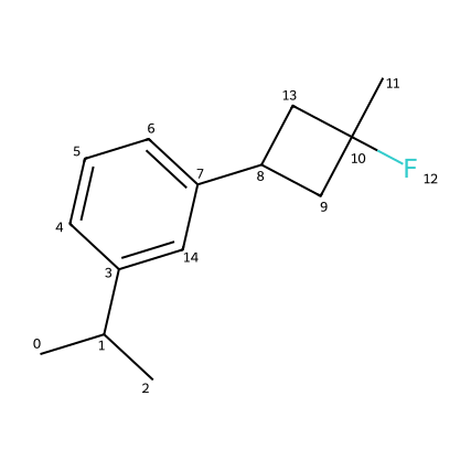 CC(C)c1cccc(C2CC(C)(F)C2)c1